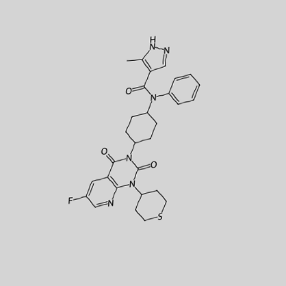 Cc1[nH]ncc1C(=O)N(c1ccccc1)C1CCC(n2c(=O)c3cc(F)cnc3n(C3CCSCC3)c2=O)CC1